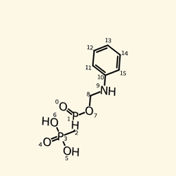 O=[PH](CP(=O)(O)O)OCNc1ccccc1